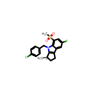 CC(=O)O[C@@H]1CCc2c1n(Cc1ccc(Cl)cc1)c1c(S(C)(=O)=O)cc(F)cc21